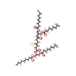 CCCCCCCCC(=O)OCC(COC(=O)CCCCCCCC)OC(=O)CCC(S)CCC(=O)OC(COC(=O)CCCCCCCC)COC(=O)CCCCCCCC